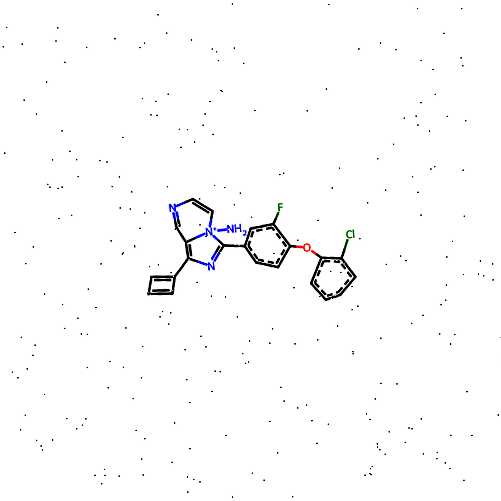 N[N+]12C=CN=CC1=C(C1=CC=C1)N=C2c1ccc(Oc2ccccc2Cl)c(F)c1